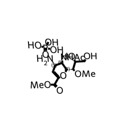 COC(=O)C1=C[C@H](N)[C@@H](NC(C)=O)[C@H](C(OC)C(O)CO)O1.O=P(O)(O)O